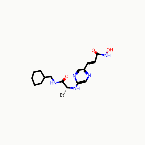 CC[C@@H](Nc1cnc(C=CC(=O)NO)cn1)C(=O)NCC1CCCCC1